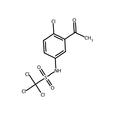 CC(=O)c1cc(NS(=O)(=O)C(Cl)(Cl)Cl)ccc1Cl